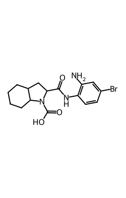 Nc1cc(Br)ccc1NC(=O)C1CC2CCCCC2N1C(=O)O